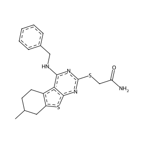 CC1CCc2c(sc3nc(SCC(N)=O)nc(NCc4ccccc4)c23)C1